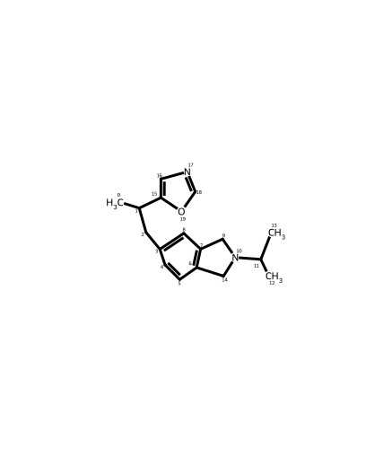 CC(Cc1ccc2c(c1)CN(C(C)C)C2)c1cnco1